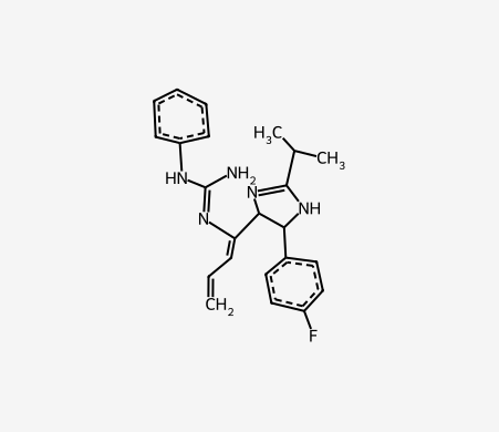 C=C/C=C(\N=C(/N)Nc1ccccc1)C1N=C(C(C)C)NC1c1ccc(F)cc1